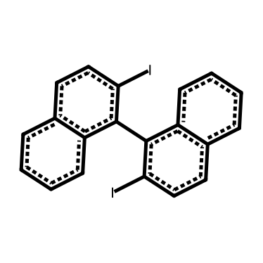 Ic1ccc2ccccc2c1-c1c(I)ccc2ccccc12